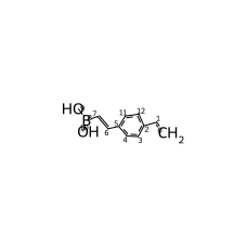 C=Cc1ccc(C=CB(O)O)cc1